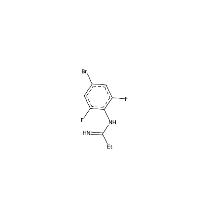 CCC(=N)Nc1c(F)cc(Br)cc1F